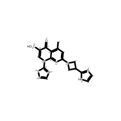 Cc1cc(N2CC(c3ncc[nH]3)C2)nc2c1c(=O)c(C(=O)O)cn2-c1ncns1